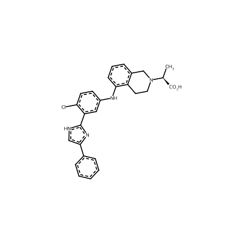 C[C@@H](C(=O)O)N1CCc2c(cccc2Nc2ccc(Cl)c(-c3nc(-c4ccccc4)c[nH]3)c2)C1